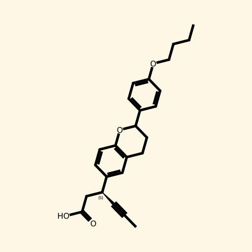 CC#C[C@@H](CC(=O)O)c1ccc2c(c1)CCC(c1ccc(OCCCC)cc1)O2